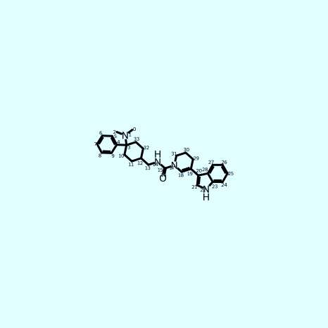 CN(C)C1(c2ccccc2)CCC(CNC(=O)N2C=C(c3c[nH]c4ccccc34)CCC2)CC1